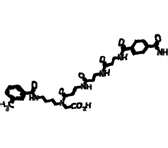 Cc1cccc(C(=O)NCCCCN(CC(=O)O)C(=O)CCNC(=O)CCNC(=O)CCNC(=O)C2CCC(C(N)=O)CC2)c1